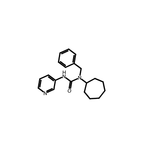 O=C(Nc1cccnc1)N(Cc1ccccc1)C1CCCCCC1